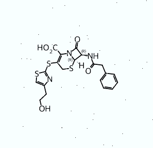 O=C(Cc1ccccc1)N[C@@H]1C(=O)N2C(C(=O)O)=C(Sc3nc(CCO)cs3)CS[C@H]12